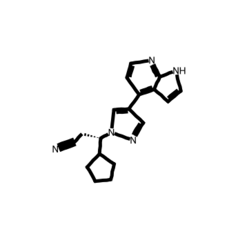 N#CC[C@@H](C1CCCC1)n1cc(-c2ccnc3[nH]ccc23)cn1